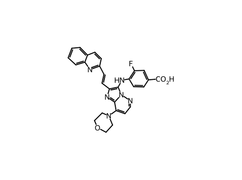 O=C(O)c1ccc(Nc2c(C=Cc3ccc4ccccc4n3)nc3c(N4CCOCC4)ccnn23)c(F)c1